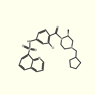 C[C@H]1CN(CC2CCCC2)CCN1C(=O)c1ccc(NS(=O)(=O)c2cccc3cccnc23)cc1Cl